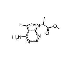 COC(=O)C(C)n1cc(I)c2c(N)ncnc21